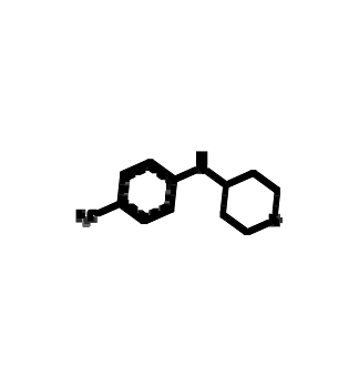 FC(F)(F)c1ccc(NC2CC[N]CC2)cc1